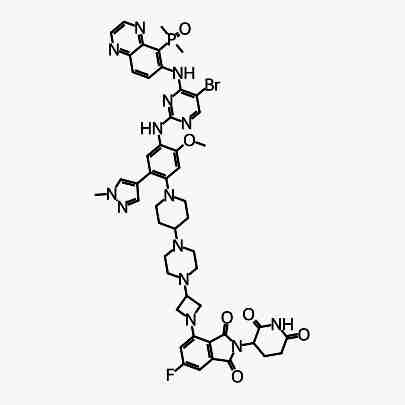 COc1cc(N2CCC(N3CCN(C4CN(c5cc(F)cc6c5C(=O)N(C5CCC(=O)NC5=O)C6=O)C4)CC3)CC2)c(-c2cnn(C)c2)cc1Nc1ncc(Br)c(Nc2ccc3nccnc3c2P(C)(C)=O)n1